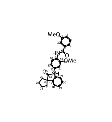 COc1cccc(C(=O)Nc2ccc(NC(=O)C3(c4ccccc4)CCCC3)cc2OC)c1